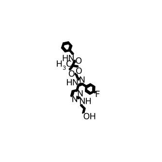 CC1(C(=O)NCc2ccccc2)COC(c2nc(-c3ccc(F)cc3)c(-c3ccnc(NCCCO)n3)[nH]2)OC1